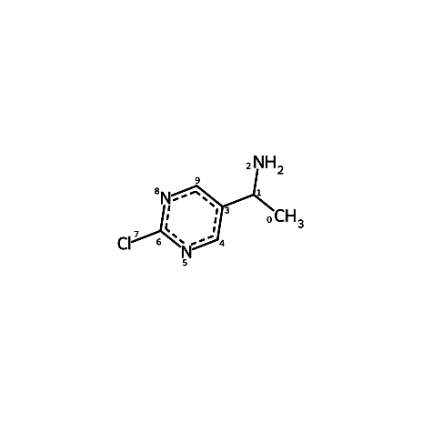 CC(N)c1cnc(Cl)nc1